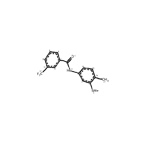 CNc1cc(NC(=O)c2cccc(C(F)(F)F)c2)ccc1C